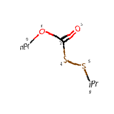 CCCOC(=O)SSC(C)C